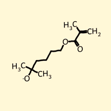 C=C(C)C(=O)OCCCCC(C)(C)[O]